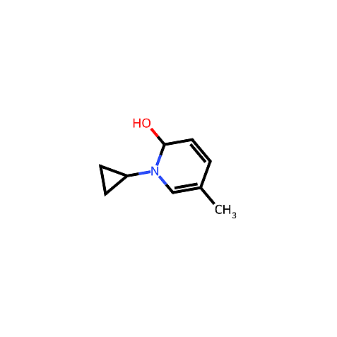 CC1=CN(C2CC2)C(O)C=C1